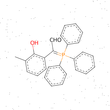 Cc1cccc(C(C=O)=P(c2ccccc2)(c2ccccc2)c2ccccc2)c1O